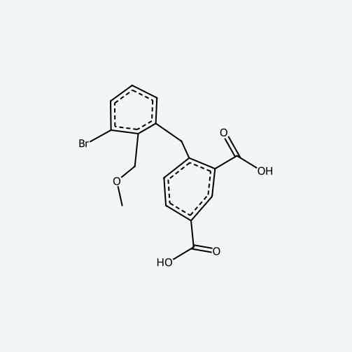 COCc1c(Br)cccc1Cc1ccc(C(=O)O)cc1C(=O)O